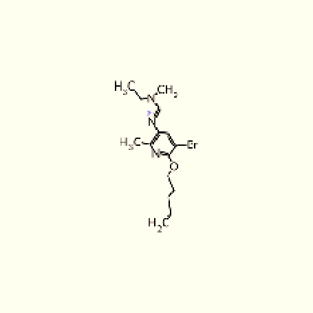 C=CCCCOc1nc(C)c(/N=C/N(C)CC)cc1Br